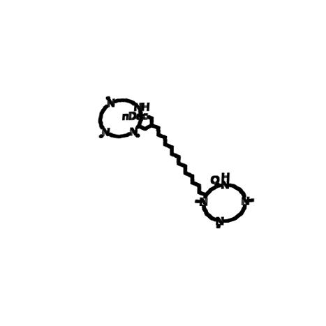 CCCCCCCCCCCC(CCCCCCCCCCCCCCC1CC(=O)NCCCN(C)CCCCN(C)CCCN1C)CC1CCNCCCN(C)CCCCN(C)CCCN1C